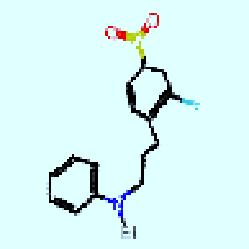 CCN(CCCC1=C(F)CC(=S(=O)=O)C=C1)c1ccccc1